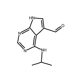 CC(C)Nc1ncnc2[nH]cc(C=O)c12